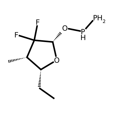 CC[C@H]1O[C@@H](OPP)C(F)(F)[C@H]1C